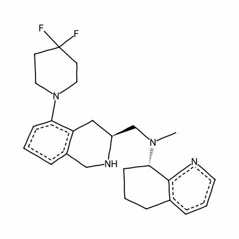 CN(C[C@@H]1Cc2c(cccc2N2CCC(F)(F)CC2)CN1)[C@H]1CCCc2cccnc21